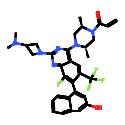 C=CC(=O)N1C[C@H](C)N(c2nc(N3CC(N(C)C)C3)nc3c(F)c(-c4cc(O)cc5ccccc45)c(C(F)(F)F)cc23)C[C@H]1C